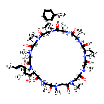 C/C=C/C[C@@H](C)[C@@H](O)[C@H]1C(=O)N[C@@H](CC)C(=O)N(C)CC(=O)N(C)[C@@H](CC(C)C)C(=O)N[C@@H](C(C)C)C(=O)N(C)[C@@H](CC(C)C)C(=O)N[C@@H](C)C(=O)N[C@H](C)C(=O)N(C)[C@@H](CC(C)C)C(=O)N(C)[C@@H](CC(C)C)C(=O)N(C)[C@@H](C(C)C)C(=O)N1C.O=C(O)c1ccccc1